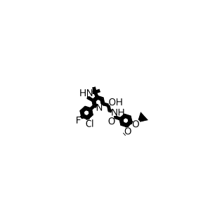 COc1cc(C(=O)NCC(O)c2cc3c(c(-c4ccc(F)c(Cl)c4)n2)CNC3(C)C)ccc1OC1CC1